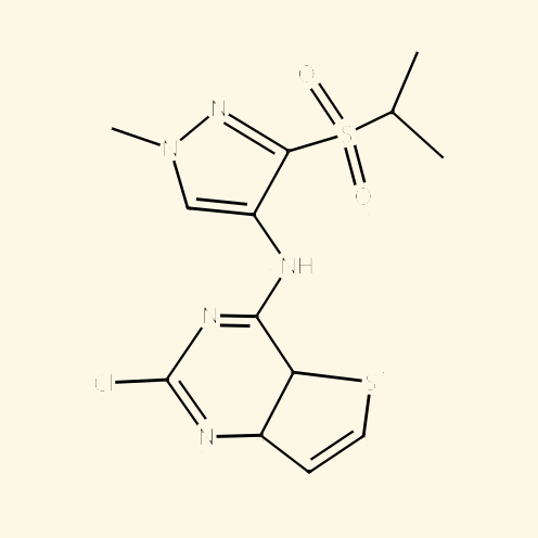 CC(C)S(=O)(=O)c1nn(C)cc1NC1=NC(Cl)=NC2C=CSC12